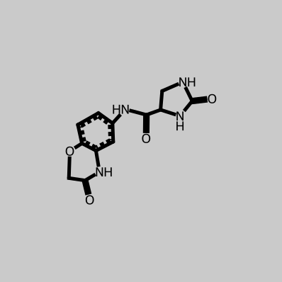 O=C1COc2ccc(NC(=O)C3CNC(=O)N3)cc2N1